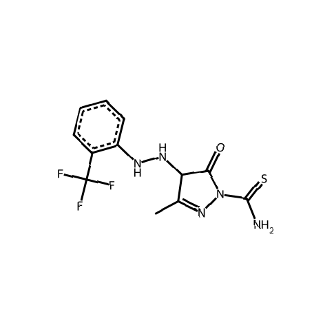 CC1=NN(C(N)=S)C(=O)C1NNc1ccccc1C(F)(F)F